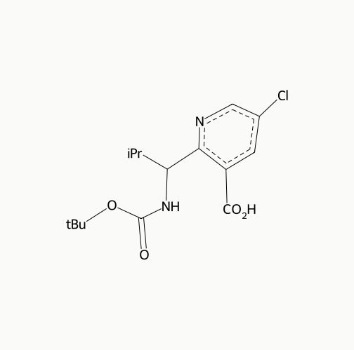 CC(C)C(NC(=O)OC(C)(C)C)c1ncc(Cl)cc1C(=O)O